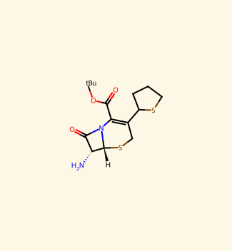 CC(C)(C)OC(=O)C1=C(C2CCCS2)CS[C@@H]2[C@H](N)C(=O)N12